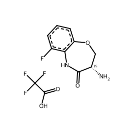 N[C@H]1COc2cccc(F)c2NC1=O.O=C(O)C(F)(F)F